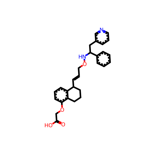 O=C(O)COc1cccc2c1CCCC2C=CCONC(Cc1cccnc1)c1ccccc1